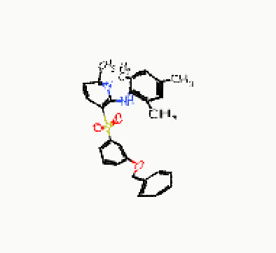 Cc1cc(C)c(Nc2nc(C)ccc2S(=O)(=O)c2cccc(OCc3ccccc3)c2)c(C)c1